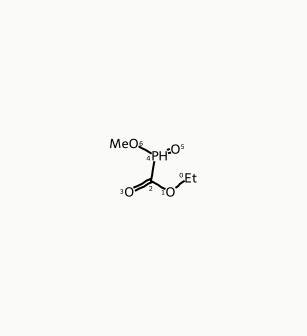 CCOC(=O)[PH](=O)OC